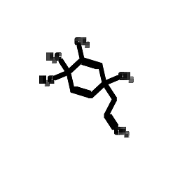 C=CCC1(C)C=CC(C)(C)C(C)=C1